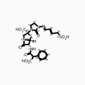 O=C(O)C(C(=O)N[C@@H]1C(=O)N2C[C@@](C(=O)O)(N3CCN(N=CC=CCS(=O)(=O)O)C3=O)S[C@H]12)c1ccccc1